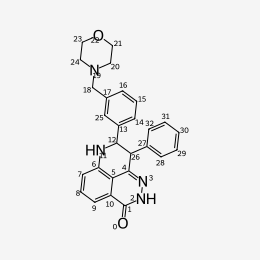 O=c1[nH]nc2c3c(cccc13)NC(c1cccc(CN3CCOCC3)c1)C2c1ccccc1